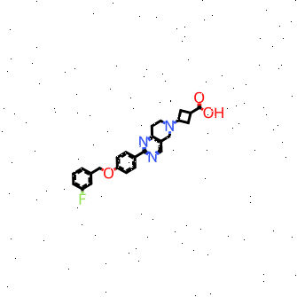 O=C(O)C1CC(N2CCc3nc(-c4ccc(OCc5cccc(F)c5)cc4)ncc3C2)C1